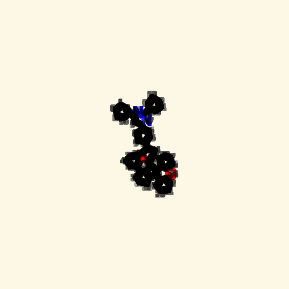 c1ccc(-c2cc(-c3ccc(-c4ccc(C5C6=C(c7ccccc7Oc7ccccc76)c6cccc(-c7ccccc7)c65)cc4)cc3)nc(-c3ccccc3)n2)cc1